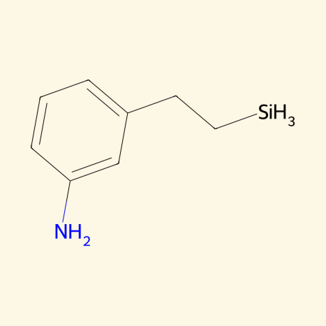 Nc1cccc(CC[SiH3])c1